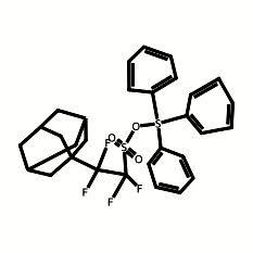 O=S(=O)(OS(c1ccccc1)(c1ccccc1)c1ccccc1)C(F)(F)C(F)(F)C12CC3CC(CC(C3)C1)C2